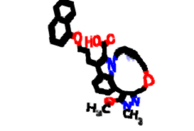 COc1c2c(nn1C)COC/C=C\Cn1c(C(=O)O)c(CCCOc3cccc4ccccc34)c3cccc-2c31